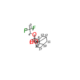 CC(F)(F)COC(=O)C12CC3CC(C1)C(O)C(C3)C2